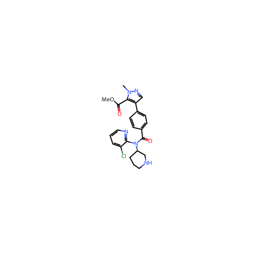 COC(=O)c1c(-c2ccc(C(=O)N(c3ncccc3Cl)[C@@H]3CCCNC3)cc2)cnn1C